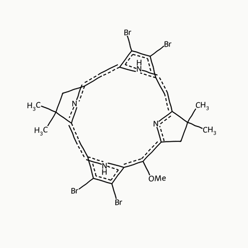 COc1c2nc(cc3[nH]c(cc4nc(cc5[nH]c1c(Br)c5Br)C(C)(C)C4)c(Br)c3Br)C(C)(C)C2